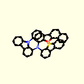 c1ccc(-n2c3ccccc3c3cccc(N(c4cccc5c4oc4c6ccccc6ccc54)c4cccc5c4sc4ccccc45)c32)cc1